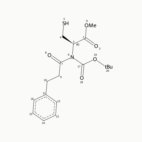 COC(=O)[C@H](CS)N(C(=O)CCc1ccccc1)C(=O)OC(C)(C)C